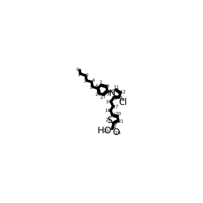 CCCCCCc1ccc(-n2ccc(Cl)c2CCCc2ccc(C(=O)O)s2)cc1